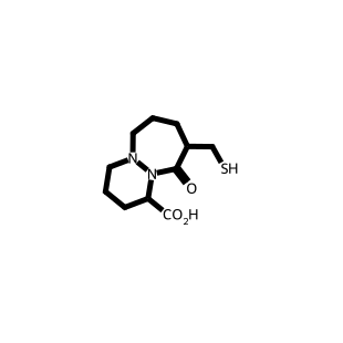 O=C(O)C1CCCN2CCCC(CS)C(=O)N12